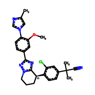 COc1cc(-c2nc3n(n2)CCC[C@@H]3c2ccc(C(C)(C)C#N)cc2Cl)ccc1-n1cnc(C)c1